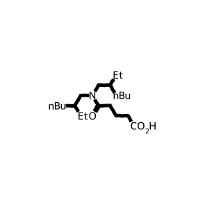 CCCCC(CC)CN(CC(CC)CCCC)C(=O)CCCC(=O)O